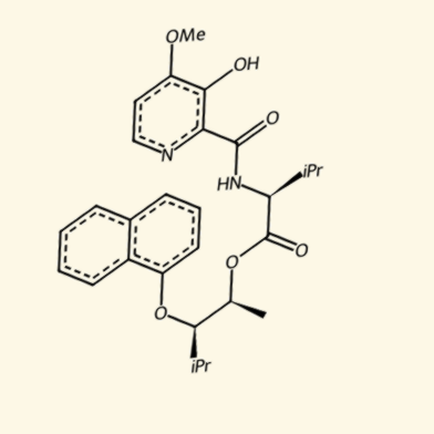 COc1ccnc(C(=O)N[C@H](C(=O)O[C@@H](C)[C@H](Oc2cccc3ccccc23)C(C)C)C(C)C)c1O